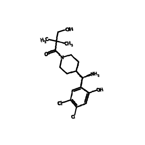 CC(C)(CO)C(=O)N1CCC([C@@H](N)c2cc(Cl)c(Cl)cc2O)CC1